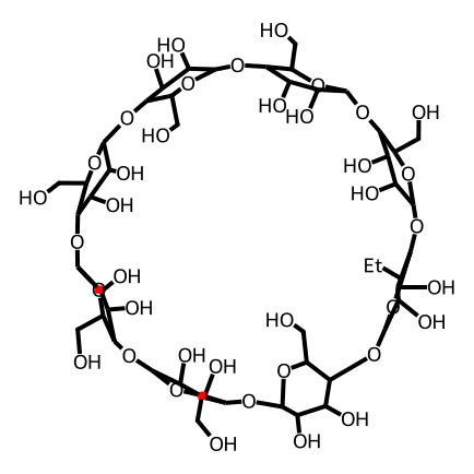 CCC1OC2OC3C(CO)OC(OC4C(CO)OC(OC5C(CO)OC(OC6C(CO)OC(OC7C(CO)OC(OC8C(CO)OC(OC9C(CO)OC(OC1C(O)C2O)C(O)C9O)C(O)C8O)C(O)C7O)C(O)C6O)C(O)C5O)C(O)C4O)C(O)C3O